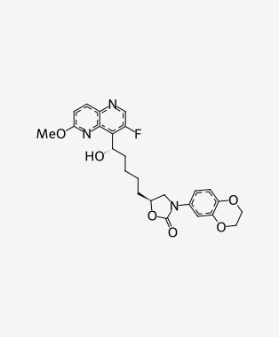 COc1ccc2ncc(F)c([C@@H](O)CCCC[C@H]3CN(c4ccc5c(c4)OCCO5)C(=O)O3)c2n1